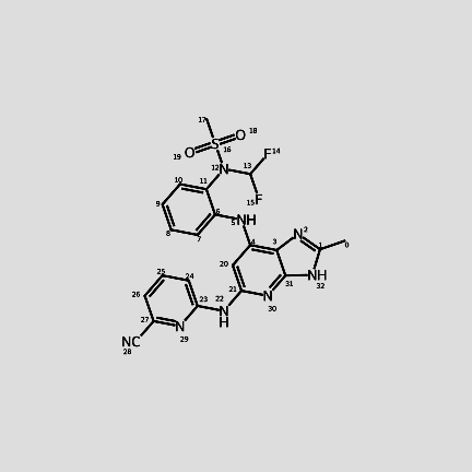 Cc1nc2c(Nc3ccccc3N(C(F)F)S(C)(=O)=O)cc(Nc3cccc(C#N)n3)nc2[nH]1